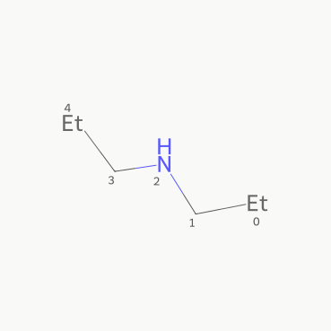 [CH2]CCNCCC